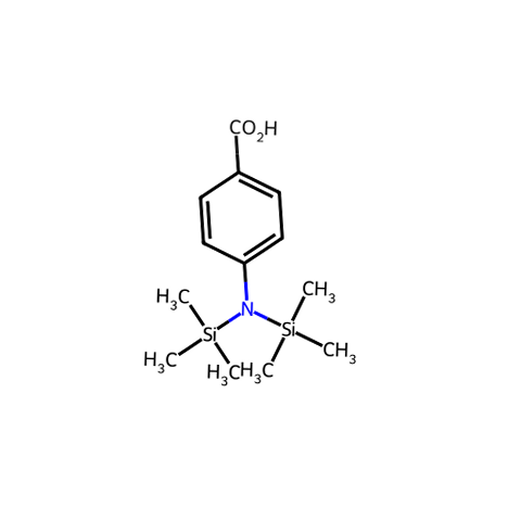 C[Si](C)(C)N(c1ccc(C(=O)O)cc1)[Si](C)(C)C